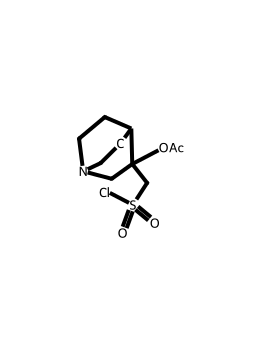 CC(=O)OC1(CS(=O)(=O)Cl)CN2CCC1CC2